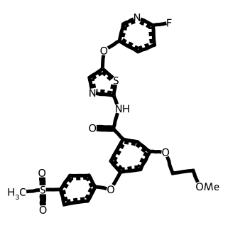 COCCOc1cc(Oc2ccc(S(C)(=O)=O)cc2)cc(C(=O)Nc2ncc(Oc3ccc(F)nc3)s2)c1